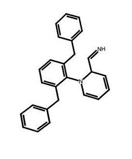 N=CC1C=CC=CN1c1c(Cc2ccccc2)cccc1Cc1ccccc1